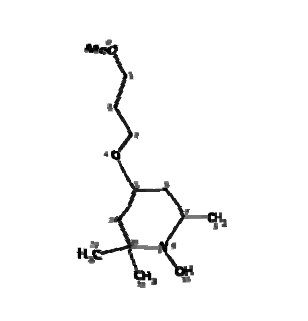 COCCCOC1CC(C)N(O)C(C)(C)C1